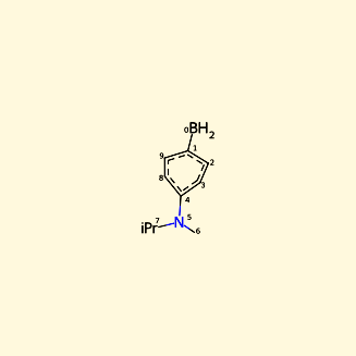 Bc1ccc(N(C)C(C)C)cc1